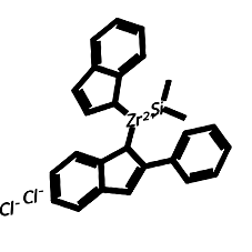 C[Si](C)=[Zr+2]([CH]1C=Cc2ccccc21)[CH]1C(c2ccccc2)=Cc2ccccc21.[Cl-].[Cl-]